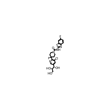 O=C(Nc1nc2ccc(F)cc2s1)N1CCC(F)(c2ncc([C@H](O)[C@H](O)CO)cc2Cl)CC1